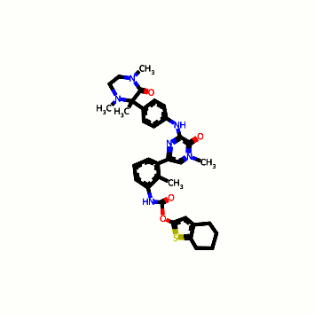 Cc1c(NC(=O)Oc2cc3c(s2)CCCC3)cccc1-c1cn(C)c(=O)c(Nc2ccc(C3(C)C(=O)N(C)CCN3C)cc2)n1